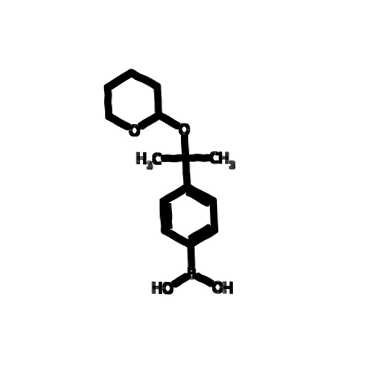 CC(C)(OC1CCCCO1)c1ccc(B(O)O)cc1